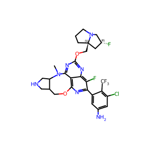 CN1c2nc(OC[C@@]34CCCN3C[C@H](F)C4)nc3c(F)c(-c4cc(N)cc(Cl)c4C(F)(F)F)nc(c23)OCC2CNCC21